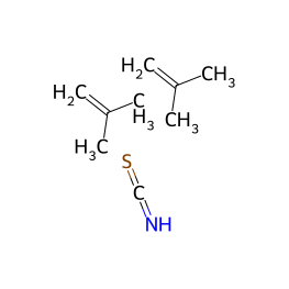 C=C(C)C.C=C(C)C.N=C=S